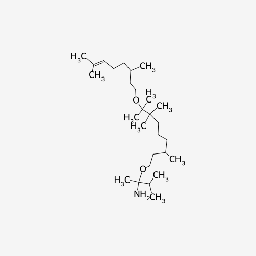 CC(C)=CCCC(C)CCOC(C)(C)C(C)(C)CCCC(C)CCOC(C)(N)C(C)C